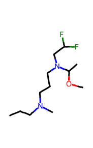 CCCN(C)CCCN(CC(F)F)C(C)OC